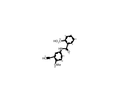 C#Cc1cc(NC(=O)c2ccccc2C(=O)O)ccc1OC